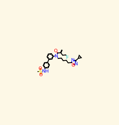 C=C(CCF)C(=O)N(CCCCCc1nc(C2CC2)no1)c1cccc(-c2ccc(NS(C)(=O)=O)cc2)c1